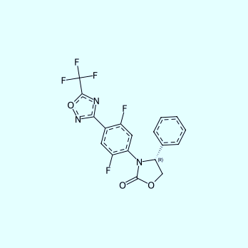 O=C1OC[C@@H](c2ccccc2)N1c1cc(F)c(-c2noc(C(F)(F)F)n2)cc1F